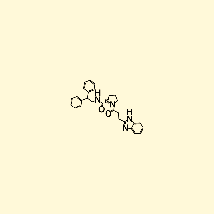 O=C(NCC(c1ccccc1)c1ccccc1)[C@@H]1CCCN1C(=O)CCc1nc2ccccc2[nH]1